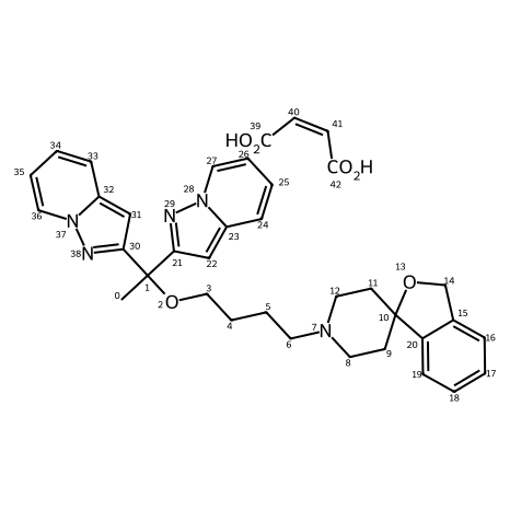 CC(OCCCCN1CCC2(CC1)OCc1ccccc12)(c1cc2ccccn2n1)c1cc2ccccn2n1.O=C(O)/C=C\C(=O)O